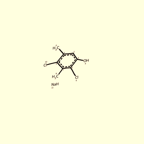 Cc1cc(O)c(Cl)c(C)c1Cl.[NaH]